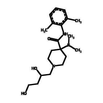 Cc1cccc(C)c1NC(=O)C1(N(C)C)CCN(CC(O)CCO)CC1